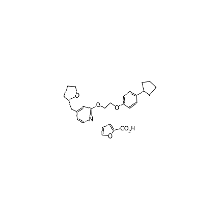 O=C(O)c1ccco1.c1cc(CC2CCCO2)cc(OCCOc2ccc(C3CCCC3)cc2)n1